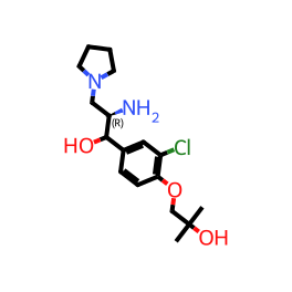 CC(C)(O)COc1ccc(C(O)[C@H](N)CN2CCCC2)cc1Cl